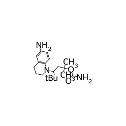 CC(C)(CC(N1CCCc2cc(N)ccc21)C(C)(C)C)OC(N)=O